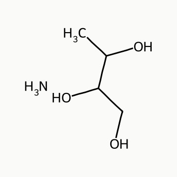 CC(O)C(O)CO.N